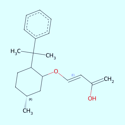 C=C(O)/C=C/OC1C[C@H](C)CCC1C(C)(C)c1ccccc1